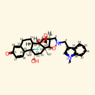 Cn1cc(CN2C[C@@H]3C[C@H]4[C@@H]5CCC6=CC(=O)C=C[C@]6(C)[C@@]5(F)[C@@H](O)C[C@]4(C)[C@]3(C(=O)O)O2)c2ccccc21